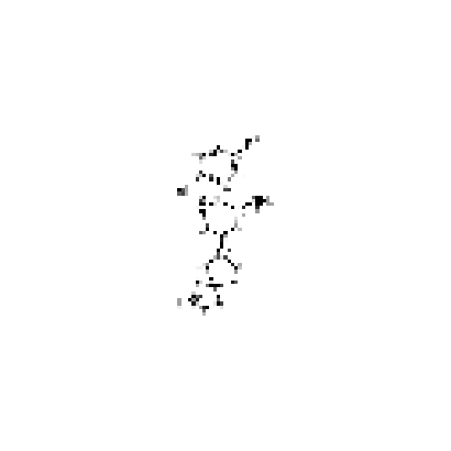 N[C@H]1C[C@@H](N2CCC3(CCNC3)C2)CO[C@@H]1c1cc(F)ccc1F